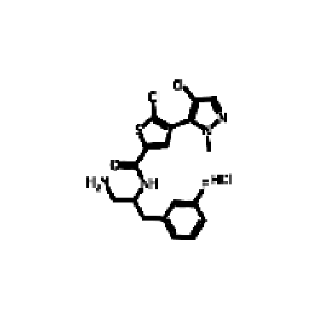 Cl.Cn1ncc(Cl)c1-c1cc(C(=O)NC(CN)Cc2cccc(F)c2)sc1Cl